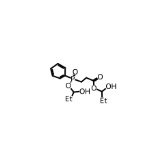 CCC(O)OC(=O)CCP(=O)(OC(O)CC)c1ccccc1